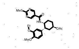 CCOc1cc([C@H]2C[C@H](OC(C)=O)CC[C@H]2NC(=O)c2cnc(SC)nc2)ccc1OC